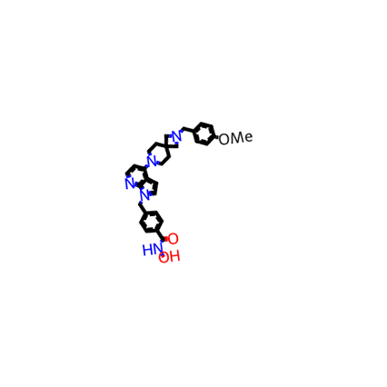 COc1ccc(CN2CC3(CCN(c4ccnc5c4ccn5Cc4ccc(C(=O)NO)cc4)CC3)C2)cc1